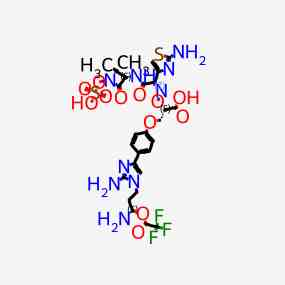 CC1(C)[C@H](NC(=O)/C(=N\O[C@@H](COc2ccc(-c3cn(CC[C@@H](N)OC(=O)C(F)(F)F)c(N)n3)cc2)C(=O)O)c2csc(N)n2)C(=O)N1OS(=O)(=O)O